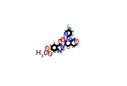 CS(=O)(=O)c1ccc2c(=O)n(C(CC3CCOCC3)C(=O)Nc3ccc(F)cn3)cnc2c1